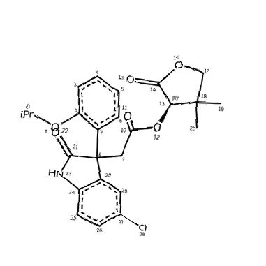 CC(C)Oc1ccccc1C1(CC(=O)O[C@H]2C(=O)OCC2(C)C)C(=O)Nc2ccc(Cl)cc21